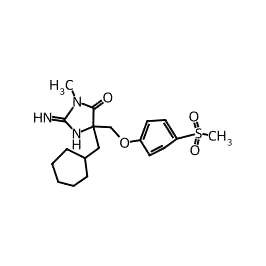 CN1C(=N)NC(COc2ccc(S(C)(=O)=O)cc2)(CC2CCCCC2)C1=O